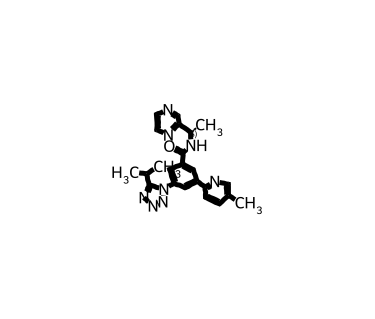 Cc1ccc(-c2cc(C(=O)N[C@@H](C)c3cnccn3)cc(-n3nnnc3C(C)C)c2)nc1